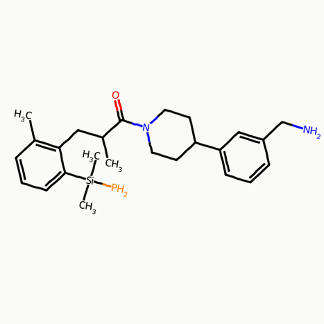 Cc1cccc([Si](C)(C)P)c1CC(C)C(=O)N1CCC(c2cccc(CN)c2)CC1